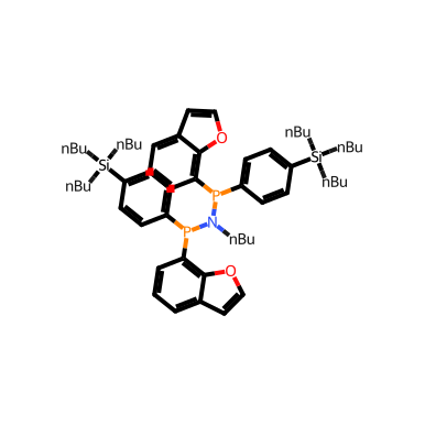 CCCCN(P(c1ccc([Si](CCCC)(CCCC)CCCC)cc1)c1cccc2ccoc12)P(c1ccc([Si](CCCC)(CCCC)CCCC)cc1)c1cccc2ccoc12